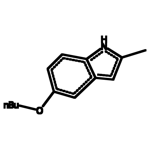 CCCCOc1ccc2[nH]c(C)cc2c1